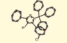 Clc1cccc(-c2c(Br)c(-c3ccccc3)nn2C(c2ccccc2)(c2ccccc2)c2ccccc2)c1